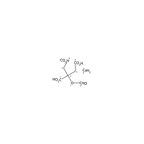 O=COC(CC(=O)O)(CC(=O)O)C(=O)O.[CaH2]